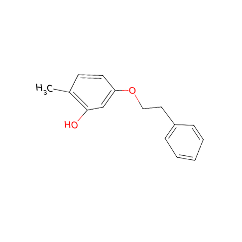 Cc1ccc(OCCc2ccccc2)cc1O